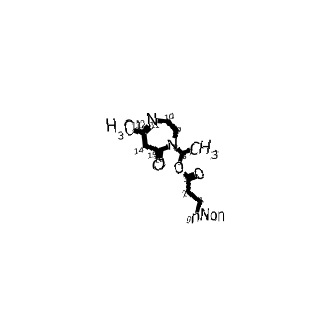 CCCCCCCCCCCC(=O)OC(C)N1CCN=C(C)CC1=O